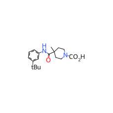 CC1(C(=O)Nc2cccc(C(C)(C)C)c2)CCN(C(=O)O)CC1